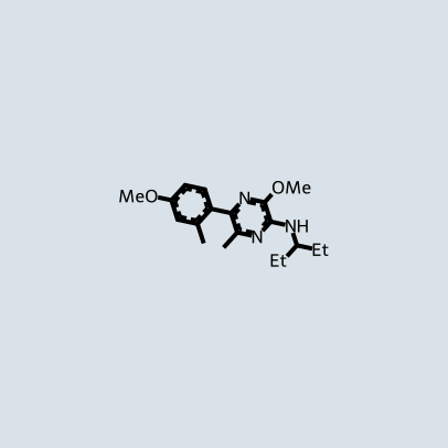 CCC(CC)Nc1nc(C)c(-c2ccc(OC)cc2C)nc1OC